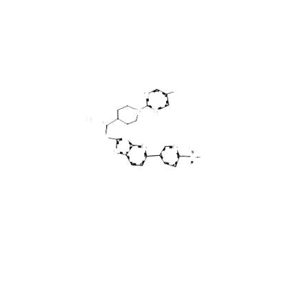 C[C@H](Oc1nc2ccc(-c3ccc(S(C)(=O)=O)nc3)nc2s1)C1CCN(c2ncc(C(F)(F)F)cn2)CC1